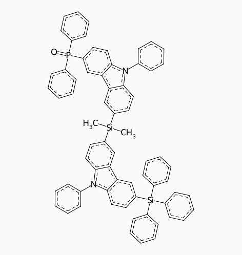 C[Si](C)(c1ccc2c(c1)c1cc([Si](c3ccccc3)(c3ccccc3)c3ccccc3)ccc1n2-c1ccccc1)c1ccc2c(c1)c1cc(P(=O)(c3ccccc3)c3ccccc3)ccc1n2-c1ccccc1